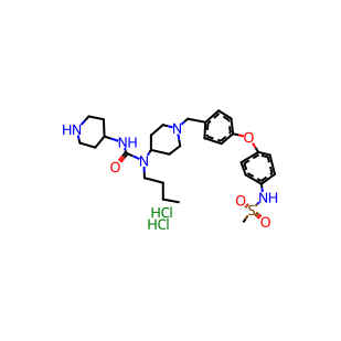 CCCCN(C(=O)NC1CCNCC1)C1CCN(Cc2ccc(Oc3ccc(NS(C)(=O)=O)cc3)cc2)CC1.Cl.Cl